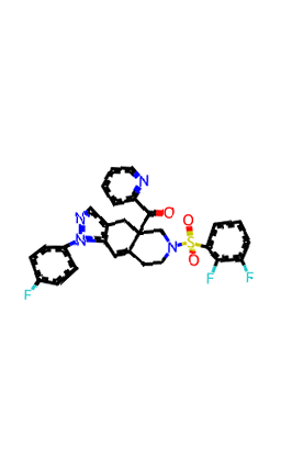 O=C(c1ccccn1)C12Cc3cnn(-c4ccc(F)cc4)c3C=C1CCN(S(=O)(=O)c1cccc(F)c1F)C2